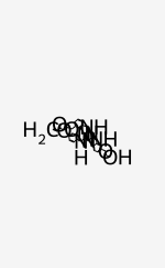 C=CC(=O)OCOc1cccc(Nc2nc(Nc3ccccc3)nc(Nc3cccc(OCO)c3)n2)c1